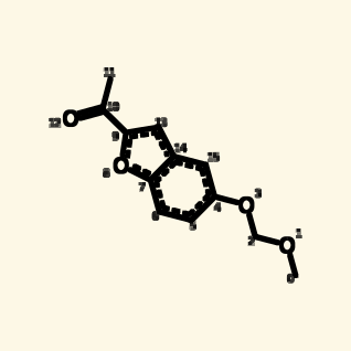 COCOc1ccc2oc(C(C)=O)cc2c1